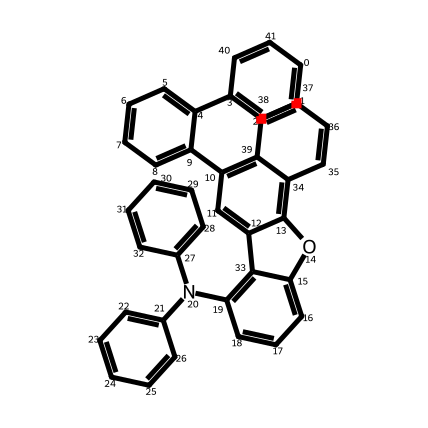 c1ccc(-c2ccccc2-c2cc3c(oc4cccc(N(c5ccccc5)c5ccccc5)c43)c3ccccc23)cc1